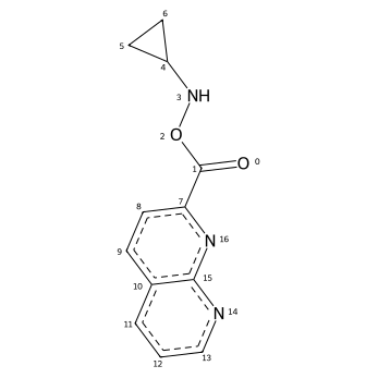 O=C(ONC1CC1)c1ccc2cccnc2n1